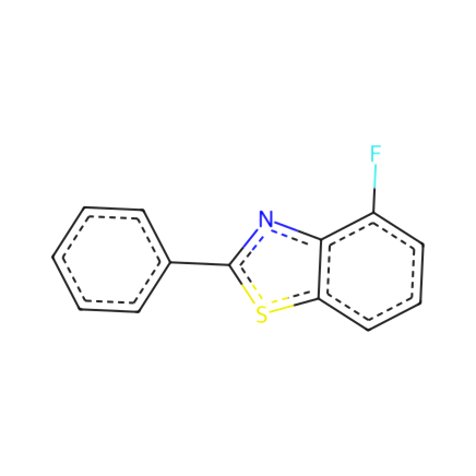 Fc1cccc2sc(-c3ccccc3)nc12